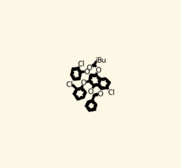 CCC(C)C(=O)Oc1c(Oc2ccccc2Cl)c(Oc2ccccc2Cl)c(OC(=O)c2ccccc2)c2cc(Cl)ccc12